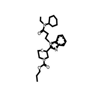 CCCOC(=O)N1CCCC(c2nc3ccccc3n2CCC(=O)N(CC)C2CCCCC2)C1